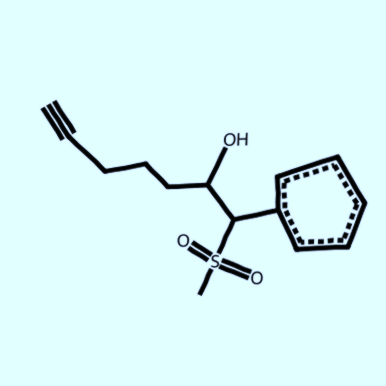 C#CCCCC(O)C(c1ccccc1)S(C)(=O)=O